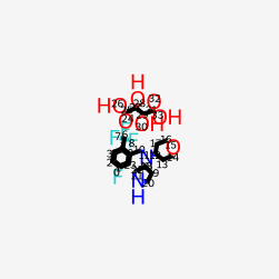 Fc1ccc(C(F)(F)F)c(CN(C2CCOCC2)[C@H]2CCNC2)c1.O=C(O)C(O)C(O)C(=O)O